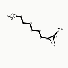 CCCCCCCC1OC1F